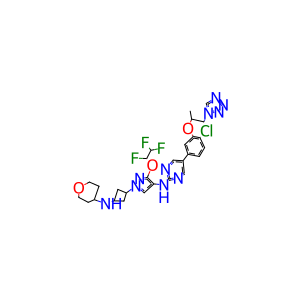 CC(Cn1cnnn1)Oc1cc(-c2cnc(Nc3cn(C4CC(NC5CCOCC5)C4)nc3OC(F)C(F)F)nc2)ccc1Cl